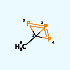 CC12P=P1=P2